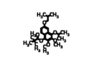 COc1c(OC)c(OC(C)C)c2cc(OCC(C)C)ccc2c1OC(=O)C(C)(C)C